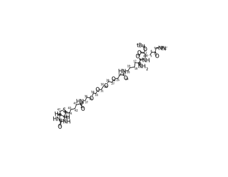 CC(C)(C)OC(=O)[C@H](CCC(=O)C=[N+]=[N-])NC(=O)[C@@H](N)CCCCNC(=O)CCOCCOCCOCCOCCNC(=O)CCCC[C@@H]1SC[C@@H]2NC(=O)N[C@@H]21